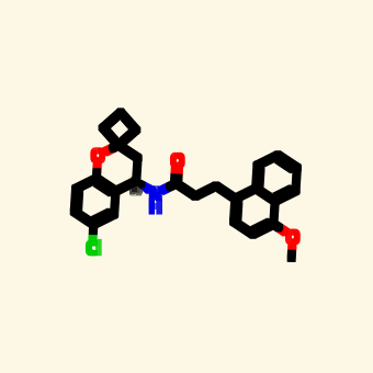 COc1ccc(CCC(=O)N[C@@H]2CC3(CCC3)Oc3ccc(Cl)cc32)c2ccccc12